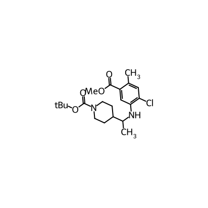 COC(=O)c1cc(NC(C)C2CCN(C(=O)OC(C)(C)C)CC2)c(Cl)cc1C